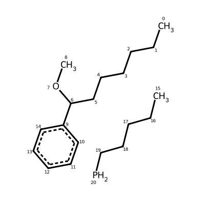 CCCCCCC(OC)c1ccccc1.CCCCCP